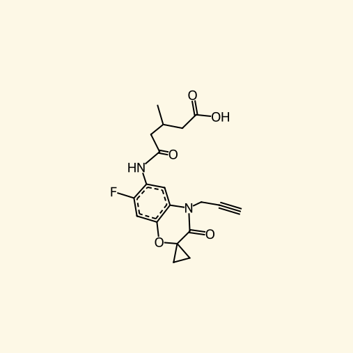 C#CCN1C(=O)C2(CC2)Oc2cc(F)c(NC(=O)CC(C)CC(=O)O)cc21